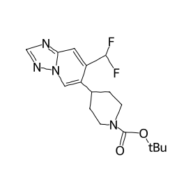 CC(C)(C)OC(=O)N1CCC(c2cn3ncnc3cc2C(F)F)CC1